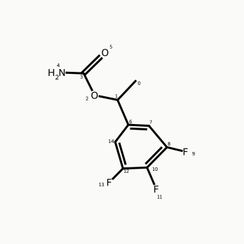 CC(OC(N)=O)c1cc(F)c(F)c(F)c1